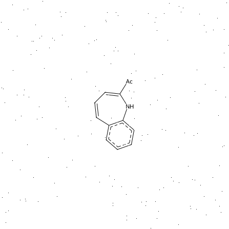 CC(=O)C1=CC=Cc2ccccc2N1